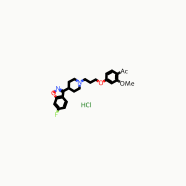 COc1cc(OCCCN2CCC(c3noc4cc(F)ccc34)CC2)ccc1C(C)=O.Cl